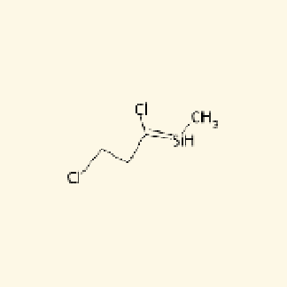 C[SiH]=C(Cl)CCCl